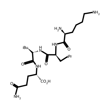 CC[C@H](C)[C@H](NC(=O)[C@H](CC(C)C)NC(=O)[C@@H](N)CCCCN)C(=O)N[C@@H](CCC(N)=O)C(=O)O